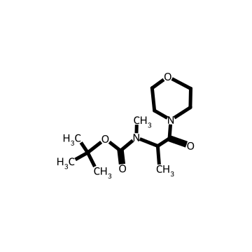 CC(C(=O)N1CCOCC1)N(C)C(=O)OC(C)(C)C